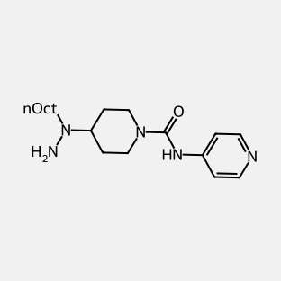 CCCCCCCCN(N)C1CCN(C(=O)Nc2ccncc2)CC1